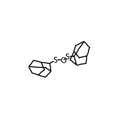 C1C2CC3CC1CC(C2)C3SOSC1C2CC3CC(C2)CC1C3